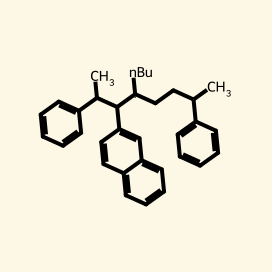 CCCC[C](CCC(C)c1ccccc1)C(c1ccc2ccccc2c1)C(C)c1ccccc1